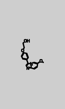 COc1ccc2ncc(-c3ccc(OCCO)cc3)n2c1